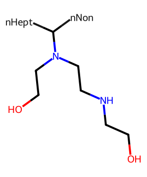 CCCCCCCCCC(CCCCCCC)N(CCO)CCNCCO